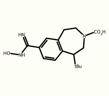 CC(C)(C)C1CN(C(=O)O)CCc2cc(C(=N)NO)ccc21